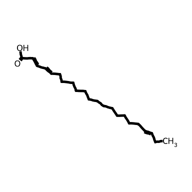 CCC=CCCCCCCCCCCCCCC=CC=CC(=O)O